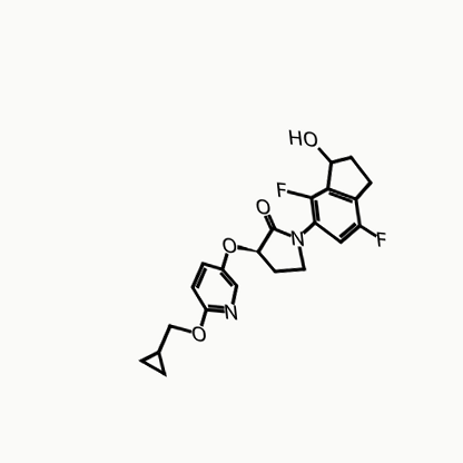 O=C1[C@H](Oc2ccc(OCC3CC3)nc2)CCN1c1cc(F)c2c(c1F)C(O)CC2